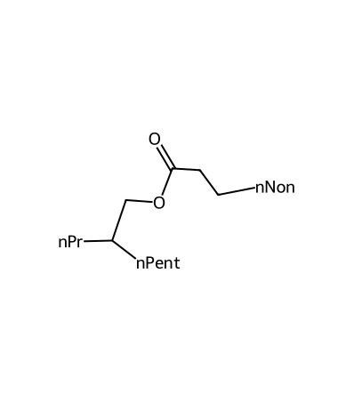 CCCCCCCCCCCC(=O)OCC(CCC)CCCCC